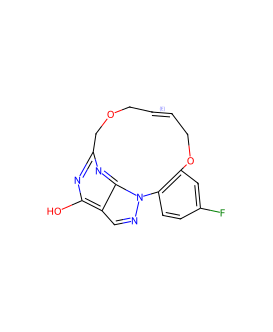 Oc1nc2nc3c1cnn3-c1ccc(F)cc1OC/C=C/COC2